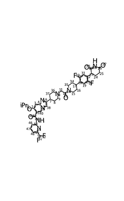 CC(C)Oc1cc2nc(C3CCN(CC(=O)N4CCC(c5cc(F)c(C6CCC(=O)NC6=O)cc5F)CC4)CC3)cn2cc1C(=O)Nc1cccc(C(F)F)n1